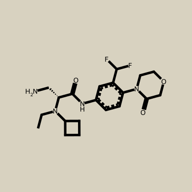 CCN(C1CCC1)[C@H](CN)C(=O)Nc1ccc(N2CCOCC2=O)c(C(F)F)c1